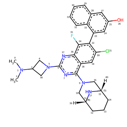 CN(C)C1CN(c2nc(N3C[C@H]4CCC[C@@H](C3)N4)c3cc(Cl)c(-c4cc(O)cc5ccccc45)c(F)c3n2)C1